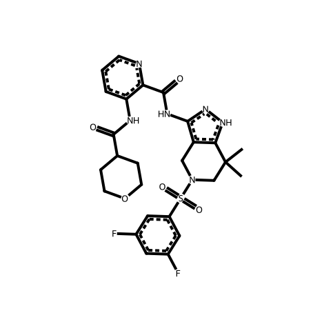 CC1(C)CN(S(=O)(=O)c2cc(F)cc(F)c2)Cc2c(NC(=O)c3ncccc3NC(=O)C3CCOCC3)n[nH]c21